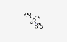 Cc1cc(/C=C/c2cccc(-c3ccccc3)c2C#N)c(Cl)cc1COC(=O)CN